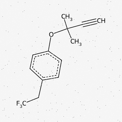 C#CC(C)(C)Oc1ccc(CC(F)(F)F)cc1